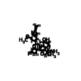 COc1cc(C(=O)NCC(O)(c2cc3c(c(-c4ccc(F)cc4)n2)OC[C@]3(C)C(N)=O)C2CC2)cc2cc(C3CC3)nn12